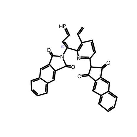 C=Cc1ccc(C2C(=O)c3cc4ccccc4cc3C2=O)nc1/C(=C\C=P)N1C(=O)c2cc3ccccc3cc2C1=O